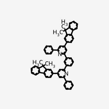 CC1(C)c2ccccc2-c2ccc(-c3cc(-c4ccccc4)nc(-c4cccc(-c5cc(-c6ccc7c(c6)C(C)(C)c6ccccc6-7)cc(-c6ccccc6)n5)c4)c3)cc21